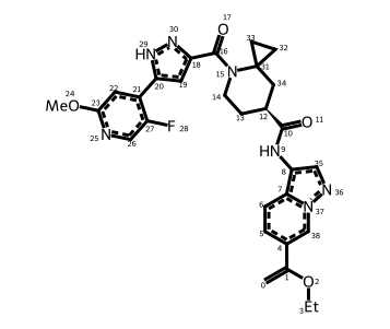 C=C(OCC)c1ccc2c(NC(=O)[C@H]3CCN(C(=O)c4cc(-c5cc(OC)ncc5F)[nH]n4)C4(CC4)C3)cnn2c1